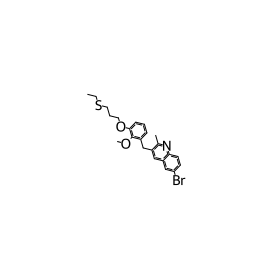 CCSCCCOc1cccc(Cc2cc3cc(Br)ccc3nc2C)c1OC